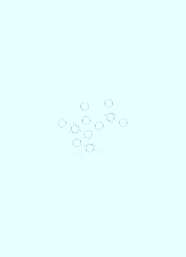 Cc1cc(C)nc(-c2cc(-c3ccc(-c4nc(-c5ccccc5)nc(-c5ccccc5)n4)cc3)ccc2-c2ccccc2-c2nc(-c3ccccc3)nc(-c3cccc(-c4ccccc4)c3)n2)n1